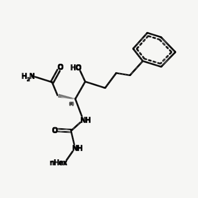 CCCCCCNC(=O)N[C@H](CC(N)=O)C(O)CCCc1ccccc1